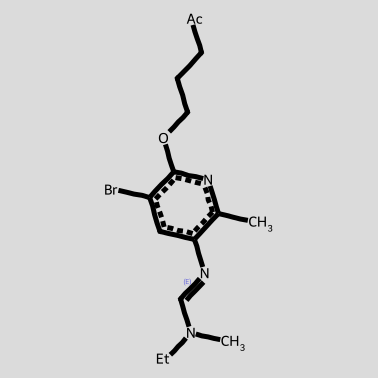 CCN(C)/C=N/c1cc(Br)c(OCCCC(C)=O)nc1C